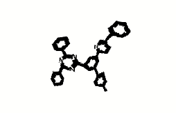 Cc1ccc(-c2cc(-c3ccc(-c4ccccc4)cn3)cc(-c3nc(-c4ccccc4)nc(-c4ccccc4)n3)c2)cc1